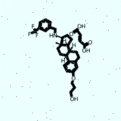 C[C@]12CC[C@@H]3c4ccc(OCCCO)cc4CC[C@H]3[C@@H]1CC[C@@H]2NCc1cccc(C(F)(F)F)c1.O=C(O)/C=C/C(=O)O